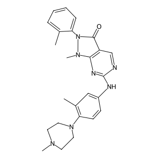 Cc1cc(Nc2ncc3c(=O)n(-c4ccccc4C)n(C)c3n2)ccc1N1CCN(C)CC1